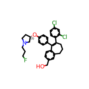 OCc1ccc2c(c1)CCCC(c1ccc(Cl)cc1Cl)=C2c1ccc(O[C@H]2CCN(CCCF)C2)cc1